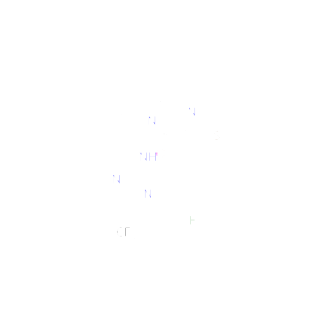 Cc1nc(C(=O)N2CCCC(C)[C@H]2CNc2ncc(C(F)(F)F)cn2)c(-c2ccc(F)cc2)s1